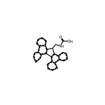 O=C(O)NCC1c2c(c3ccccc3c3ccccc23)-c2c1c1ccccc1c1ccccc21